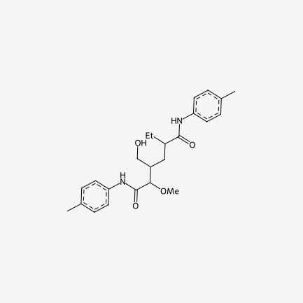 CCC(CC(CO)C(OC)C(=O)Nc1ccc(C)cc1)C(=O)Nc1ccc(C)cc1